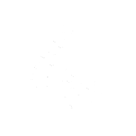 CC(C)(O)Cn1cc(Nc2nc(-c3cnn(C4(CC#N)CN(S(C)(=O)=O)C4)c3)c3sccc3n2)cn1